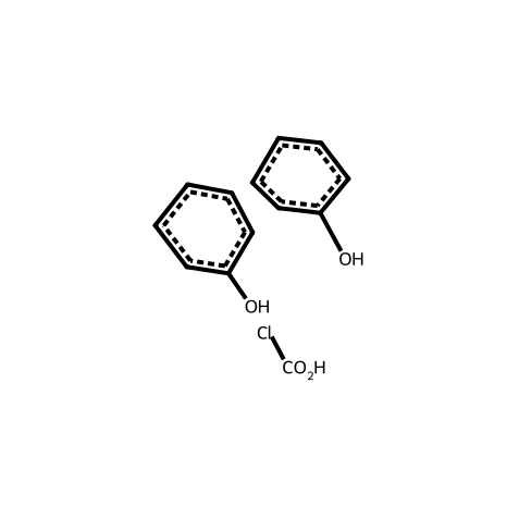 O=C(O)Cl.Oc1ccccc1.Oc1ccccc1